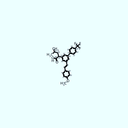 COc1ccc(C=Cc2cc(-c3ccc(C(F)(F)F)cc3)cc(C(CC(C)C)C(=O)O)c2)cc1